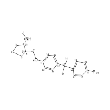 CN[C@H]1CCC[C@H]1COc1ccc(C(C)(C)c2ccc(F)cc2)cc1